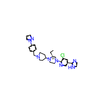 CC[C@H]1CN(c2ncc(-c3ncc[nH]3)cc2Cl)CCN1C1CCN(Cc2ccc(-n3cccn3)cc2)CC1